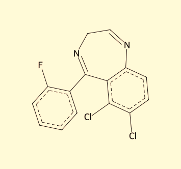 Fc1ccccc1C1=NCC=Nc2ccc(Cl)c(Cl)c21